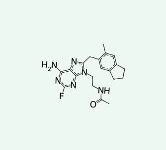 CC(=O)NCCn1c(Cc2cc3c(cc2C)CCC3)nc2c(N)nc(F)nc21